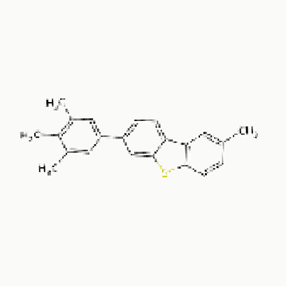 Cc1ccc2sc3cc(-c4cc(C)c(C)c(C)c4)ccc3c2c1